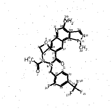 CC(=O)N(C1COC1)N(Cc1ccc(C(F)(F)F)cc1F)C(=O)c1ccc2nc(N)c3cnn(C)c3c2c1